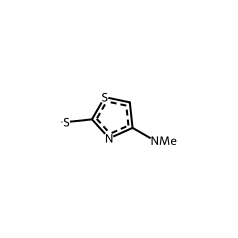 CNc1csc([S])n1